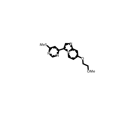 COCCOc1ccn2c(-c3cc(SC)ncn3)cnc2c1